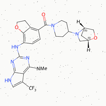 CNc1nc(Nc2ccc(C(=O)N3CCC(N4C[C@@H]5C[C@H]4CO5)CC3)c3c2OCC3)nc2[nH]cc(C(F)(F)F)c12